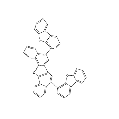 c1ccc2c(c1)sc1c(-c3cc4c5cc(-c6cccc7c6sc6ccccc67)c6ccccc6c5oc4c4ccccc34)cccc12